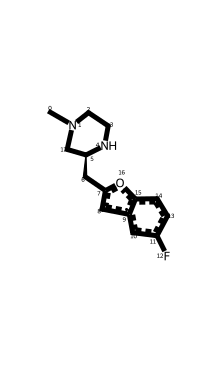 CN1CCN[C@@H](Cc2cc3cc(F)ccc3o2)C1